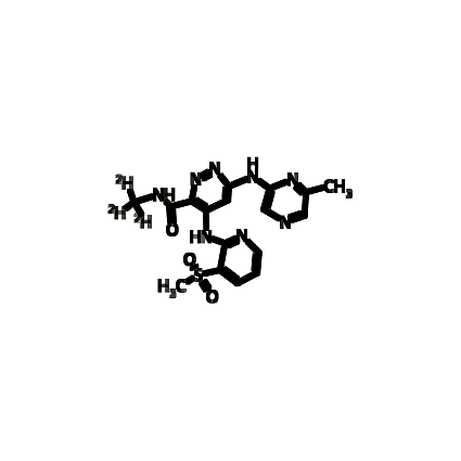 [2H]C([2H])([2H])NC(=O)c1nnc(Nc2cncc(C)n2)cc1Nc1ncccc1S(C)(=O)=O